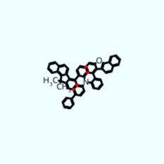 CC1(C)c2cccc(-c3ccccc3N(c3ccc(-c4ccccc4)cc3)c3ccccc3-c3cccc4oc5c6ccccc6ccc5c34)c2-c2ccc3ccccc3c21